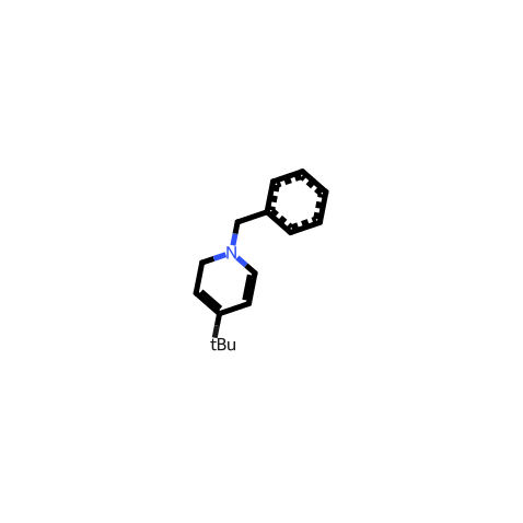 CC(C)(C)C1=CCN(Cc2ccccc2)C=C1